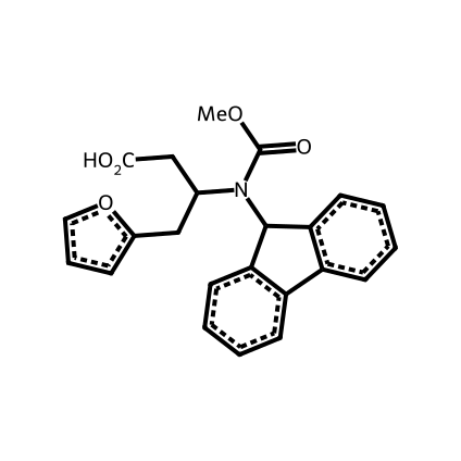 COC(=O)N(C(CC(=O)O)Cc1ccco1)C1c2ccccc2-c2ccccc21